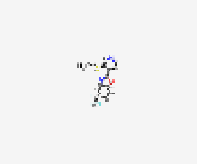 CCSc1cnccc1-c1nc2cc(C(F)(F)F)ccc2o1